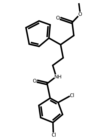 COC(=O)CC(CCNC(=O)c1ccc(Cl)cc1Cl)c1ccccc1